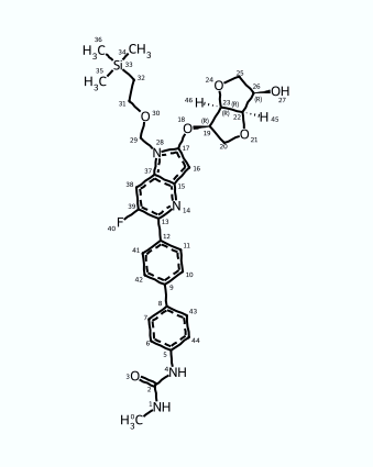 CNC(=O)Nc1ccc(-c2ccc(-c3nc4cc(O[C@@H]5CO[C@H]6[C@@H]5OC[C@H]6O)n(COCC[Si](C)(C)C)c4cc3F)cc2)cc1